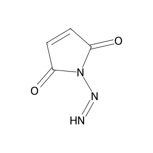 N=NN1C(=O)C=CC1=O